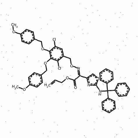 C=CCOC(=O)/C(=N\OCc1cc(Cl)c(OCc2ccc(OC)cc2)c(OCc2ccc(OC)cc2)c1Cl)c1csc(NC(c2ccccc2)(c2ccccc2)c2ccccc2)n1